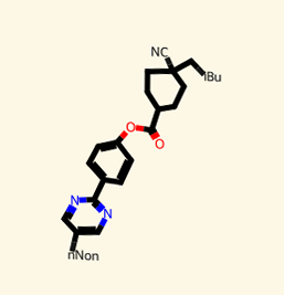 CCCCCCCCCc1cnc(-c2ccc(OC(=O)C3CCC(C#N)(CC(C)CC)CC3)cc2)nc1